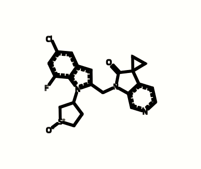 O=C1N(Cc2cc3cc(Cl)cc(F)c3n2C2CC[S+]([O-])C2)c2cnccc2C12CC2